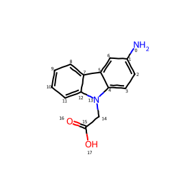 Nc1ccc2c(c1)c1ccccc1n2CC(=O)O